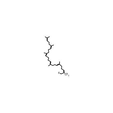 CC(C)=CCCC(C)=CCCC(C)=CCCC=C(C)CCC=C(C)CCC=C(CF)C(F)(F)F